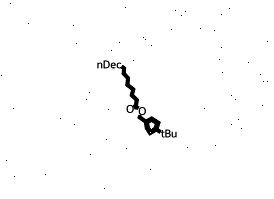 CCCCCCCCCCCCCCCCCC(=O)OCc1ccc(C(C)(C)C)cc1